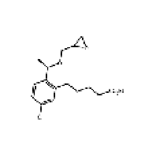 CCOC(=O)CCCCc1cc(Cl)ccc1[C@@H](C)OCC1CO1